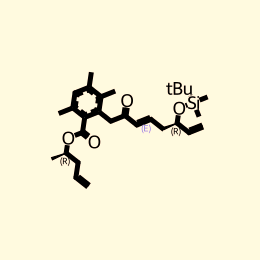 C=CC[C@@H](C)OC(=O)c1c(C)cc(C)c(C)c1CC(=O)/C=C/C[C@H](C=C)O[Si](C)(C)C(C)(C)C